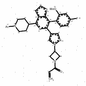 C=CC(=O)N1CC(n2cc(-c3nc(C4CCN(C(C)=O)CC4)c4ccsc4c3-c3ccc(F)cc3OC)cn2)C1